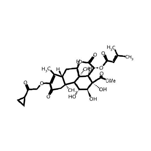 COC(=O)[C@@]1(O)[C@@H](O)[C@H](O)C2[C@@]3(C)[C@@H](C[C@H]4C(C)=C(OCC(=O)C5CC5)C(=O)C[C@]24C)OC(=O)[C@H](OC(=O)C=C(C)C)[C@@H]13